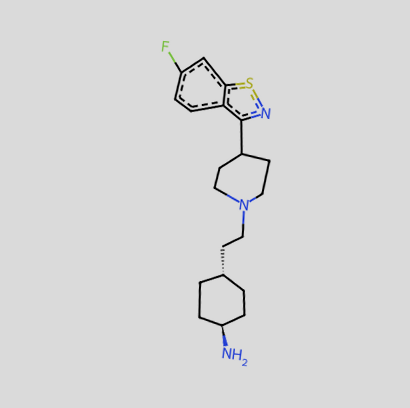 N[C@H]1CC[C@H](CCN2CCC(c3nsc4cc(F)ccc34)CC2)CC1